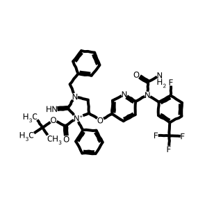 CC(C)(C)OC(=O)[N+]1(c2ccccc2)C(=N)N(Cc2ccccc2)CC1Oc1ccc(N(C(N)=O)c2cc(C(F)(F)F)ccc2F)nc1